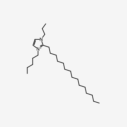 CCCCCCCCCCCCCCCc1n(CCC)cc[n+]1CCCCC